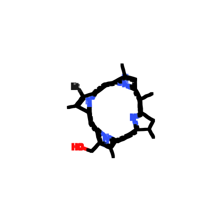 CCC1=C(C)c2cc3[nH]c(cc4nc(c(C)c5cc(C)c(cc1n2)[nH]5)CC4C)c(C)c3CO